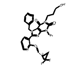 CC(C)n1c(=O)n(CCCO)c(=O)c2c1nc(-c1cccnc1OC[C@@H]1CC1(F)F)n2Cc1ccccc1